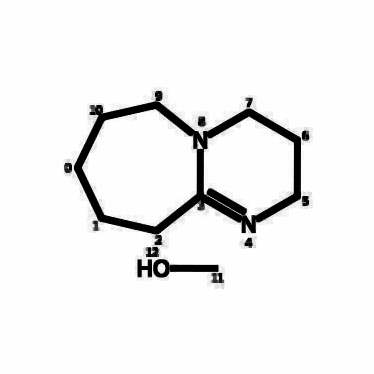 C1CCC2=NCCCN2CC1.CO